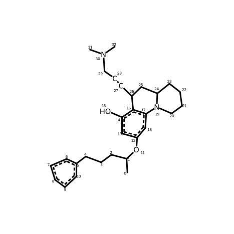 CC(CCCc1ccccc1)Oc1cc(O)c2c(c1)N1CCCCC1CC2CCCN(C)C